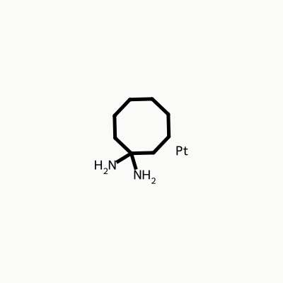 NC1(N)CCCCCCC1.[Pt]